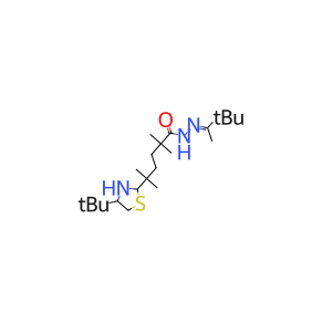 C/C(=N\NC(=O)C(C)(C)CCC(C)(C)C1NC(C(C)(C)C)CS1)C(C)(C)C